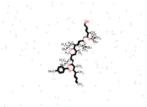 C=CC=C[C@H](C)[C@H](OCc1ccc(OC)cc1)[C@@H](C)[C@H](CC[C@H](C)C[C@H](C)[C@@H](O[Si](C)(C)C(C)(C)C)[C@@H](C)C=C[C@H](C[C@H](O[Si](C)(C)C(C)(C)C)[C@H](C)C=CCO)O[Si](C)(C)C(C)(C)C)O[Si](C)(C)C(C)(C)C